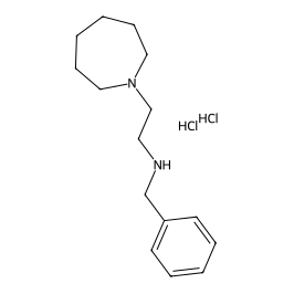 Cl.Cl.c1ccc(CNCCN2CCCCCC2)cc1